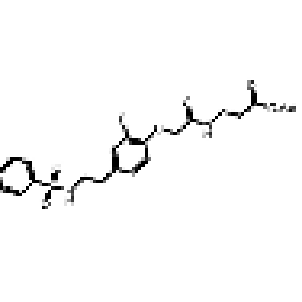 COC(=O)CCNC(=O)COc1ccc(CCNS(=O)(=O)c2ccccc2)cc1F